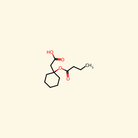 CCCC(=O)OC1(CC(=O)O)CCCCC1